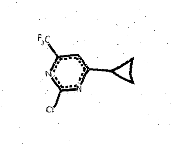 FC(F)(F)c1cc(C2CC2)nc(Cl)n1